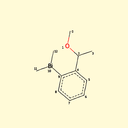 COC(C)c1cccc[c]1[Bi]([CH3])[CH3]